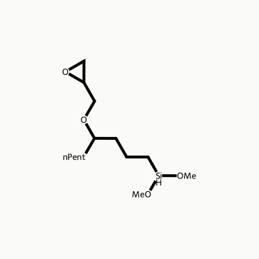 CCCCCC(CCC[SiH](OC)OC)OCC1CO1